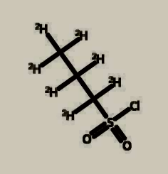 [2H]C([2H])([2H])C([2H])([2H])C([2H])([2H])S(=O)(=O)Cl